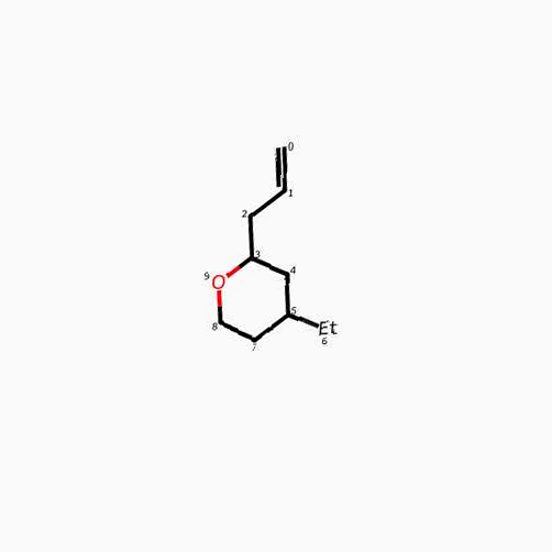 C=CCC1[C]C(CC)CCO1